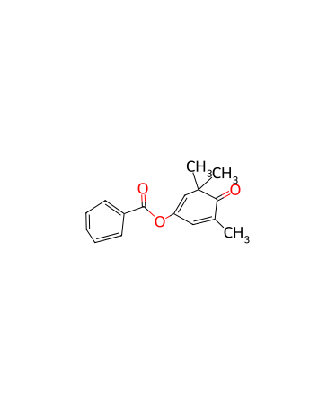 CC1=CC(OC(=O)c2ccccc2)=CC(C)(C)C1=O